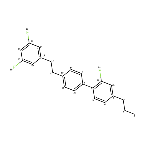 CCCc1ccc(-c2ccc(CCc3cc(F)cc(F)c3)cc2)c(F)c1